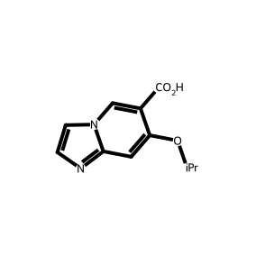 CC(C)Oc1cc2nccn2cc1C(=O)O